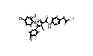 Cc1c(C(=O)Nc2ccc(CC(=O)O)cc2)nn(-c2ccc(Cl)cc2Cl)c1-c1ccc(Cl)cc1